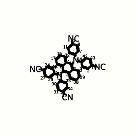 [C-]#[N+]c1ccc(N(c2ccc([N+]#[C-])cc2)c2c3ccccc3c(N(c3ccc(C#N)cc3)c3ccc(C#N)cc3)c3ccccc23)cc1